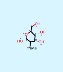 CNC1[C@H](O)OC(CO)[C@H](O)[C@@H]1O